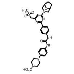 CS(=O)(=O)Cc1cc(N2CC3CCC(C2)O3)nc(-c2ccc(NC(=O)Nc3ccc(N4CCN(C(=O)O)CC4)cc3)cc2)n1